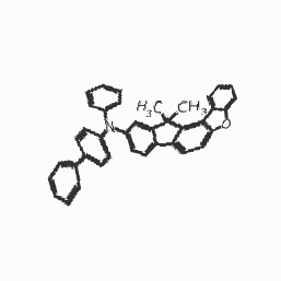 CC1(C)c2cc(N(c3ccccc3)c3ccc(-c4ccccc4)cc3)ccc2-c2ccc3oc4ccccc4c3c21